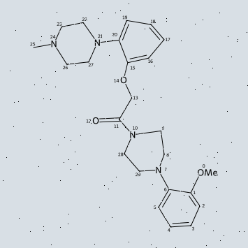 COc1ccccc1N1CCN(C(=O)COc2ccccc2N2CCN(C)CC2)CC1